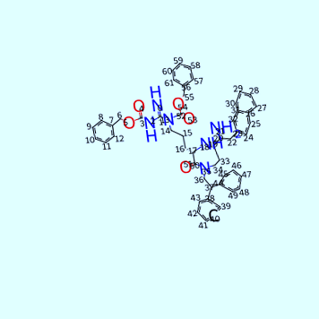 N=C(NC(=O)OCc1ccccc1)N(CCC[C@@H]1NC([C@@H](N)Cc2ccc3ccccc3c2)CCN(CC(c2ccccc2)c2ccccc2)C1=O)C(=O)OCc1ccccc1